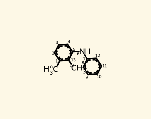 Cc1cccc(Nc2cc[c]cc2)c1C